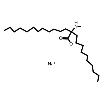 CCCCCCCCCCCCC(CCCCCCCCCC)(NC)C(=O)[O-].[Na+]